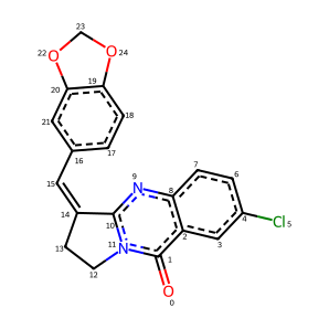 O=c1c2cc(Cl)ccc2nc2n1CC/C2=C/c1ccc2c(c1)OCO2